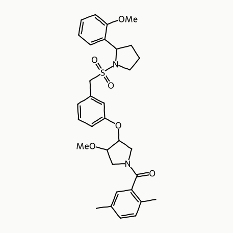 COc1ccccc1C1CCCN1S(=O)(=O)Cc1cccc(OC2CN(C(=O)c3cc(C)ccc3C)CC2OC)c1